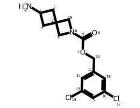 NC1CC2(C1)CN(C(=O)OCc1cc(Cl)cc(Cl)c1)C2